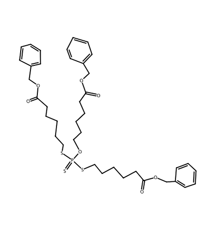 O=C(CCCCCOP(=S)(SCCCCCC(=O)OCc1ccccc1)SCCCCCC(=O)OCc1ccccc1)OCc1ccccc1